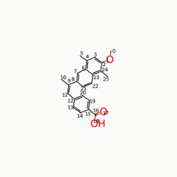 COc1cc(C)c2cc(/C(C)=C\c3ccc(C(=O)O)cc3)ccc2c1C